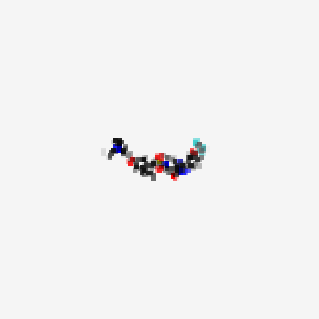 Cc1cc(OCCCN(C)C)ccc1CCS(=O)(=O)N1CCC2(CC1)N=C(c1cccc(OC(F)(F)F)c1)NC2=O